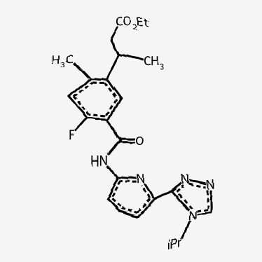 CCOC(=O)CC(C)c1cc(C(=O)Nc2cccc(-c3nncn3C(C)C)n2)c(F)cc1C